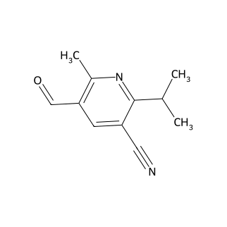 Cc1nc(C(C)C)c(C#N)cc1C=O